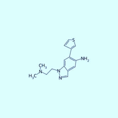 CN(C)CCn1ncc2cc(N)c(-c3ccsc3)cc21